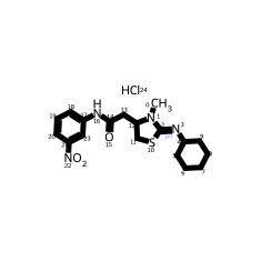 CN1/C(=N/C2CCCCC2)SCC1CC(=O)Nc1cccc([N+](=O)[O-])c1.Cl